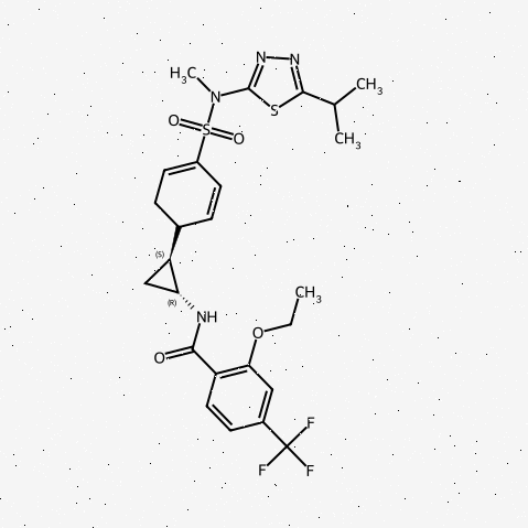 CCOc1cc(C(F)(F)F)ccc1C(=O)N[C@@H]1C[C@H]1C1C=CC(S(=O)(=O)N(C)c2nnc(C(C)C)s2)=CC1